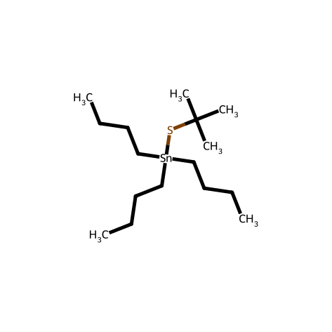 CCC[CH2][Sn]([CH2]CCC)([CH2]CCC)[S]C(C)(C)C